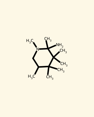 CC1CN(C)C(C)(N)C(C)(C)C1(C)C